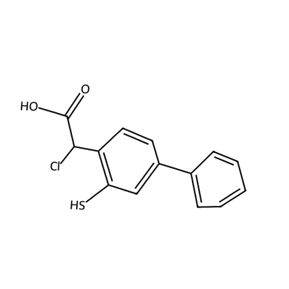 O=C(O)C(Cl)c1ccc(-c2ccccc2)cc1S